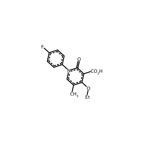 CCOc1c(C)cn(-c2ccc(F)cc2)c(=O)c1C(=O)O